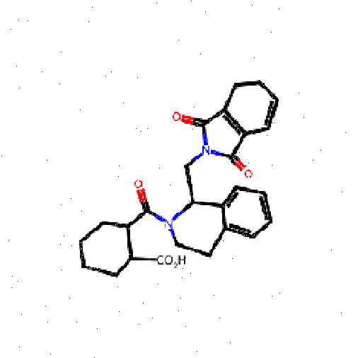 O=C(O)C1CCCCC1C(=O)N1CCc2ccccc2C1CN1C(=O)C2=C(CCC=C2)C1=O